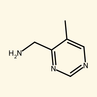 Cc1cncnc1CN